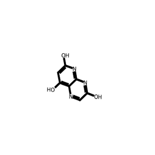 Oc1cnc2c(O)cc(O)nc2n1